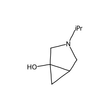 CC(C)N1CC2CC2(O)C1